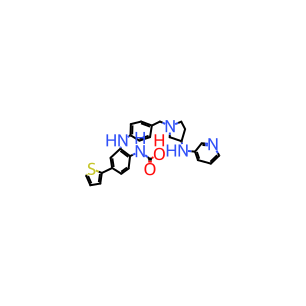 O=C(O)Nc1ccc(-c2cccs2)cc1Nc1ccc(CN2CCC(Nc3cccnc3)C2)cc1